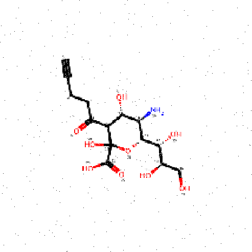 C#CCCC(=O)C1[C@H](O)[C@@H](N)[C@H]([C@H](O)[C@H](O)CO)OC1(O)C(=O)O